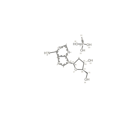 Nc1ncnc2c1ncn2[C@H]1C[C@H](O)[C@@H](CO)O1.OP(O)(O)=S